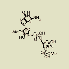 CO[C@@H]1[C@H](O)[C@@H](COP(=O)(O)OCC(COP(=O)(O)OC)OP(=O)(O)F)O[C@H]1n1cnc2c(=O)[nH]c(N)nc21